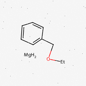 CCOCc1ccccc1.[MgH2]